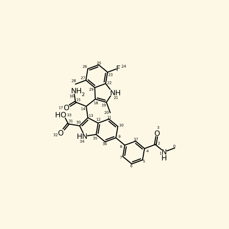 CNC(=O)c1cccc(-c2ccc3c(C(C(N)=O)c4c(C)[nH]c5c(F)ccc(C)c45)c(C(=O)O)[nH]c3c2)c1